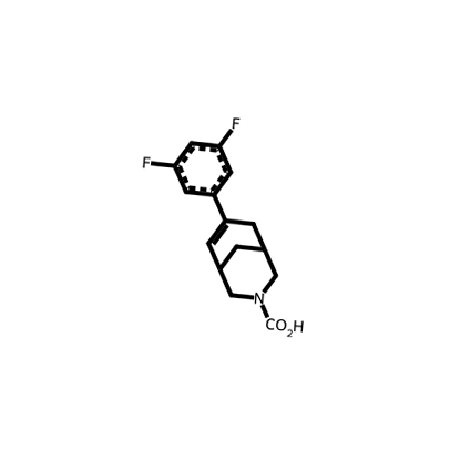 O=C(O)N1CC2C=C(c3cc(F)cc(F)c3)CC(C2)C1